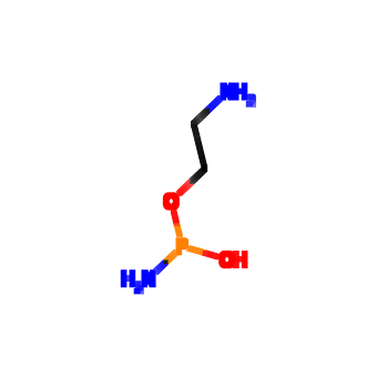 NCCOP(N)O